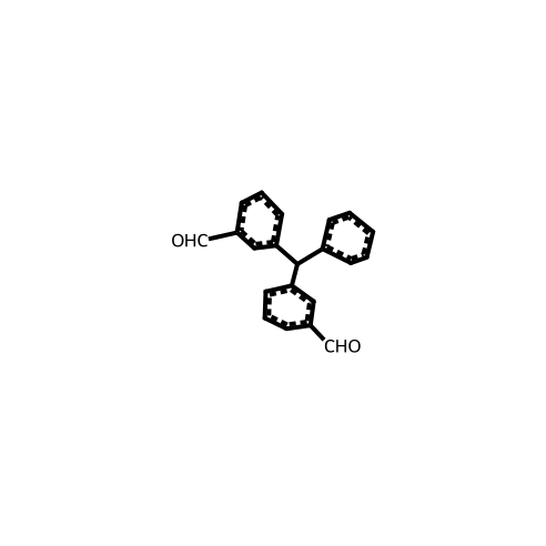 O=Cc1cccc(C(c2ccccc2)c2cccc(C=O)c2)c1